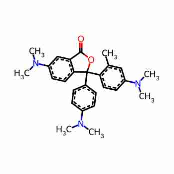 Cc1cc(N(C)C)ccc1C1(c2ccc(N(C)C)cc2)OC(=O)c2cc(N(C)C)ccc21